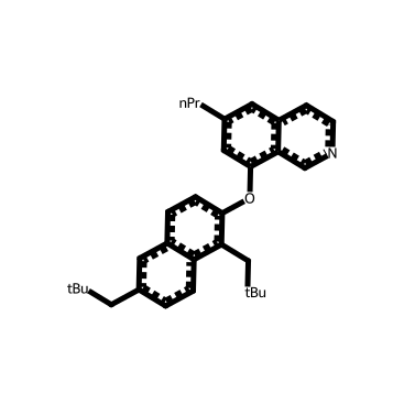 CCCc1cc(Oc2ccc3cc(CC(C)(C)C)ccc3c2CC(C)(C)C)c2cnccc2c1